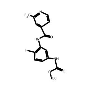 CC(C)(C)OC(=O)Nc1ccc(F)c(NC(=O)c2ccnc(C(F)(F)F)c2)c1